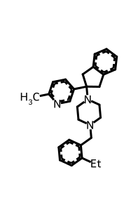 CCc1ccccc1CN1CCN(C2(c3ccc(C)nc3)Cc3ccccc3C2)CC1